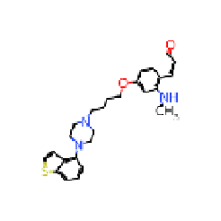 CNc1cc(OCCCCN2CCN(c3cccc4sccc34)CC2)ccc1/C=C\C=O